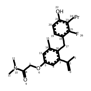 C=C(C)c1cc(OCC(=O)N(C)C)cc(C)c1Cc1ccc(O)c(C(C)C)c1F